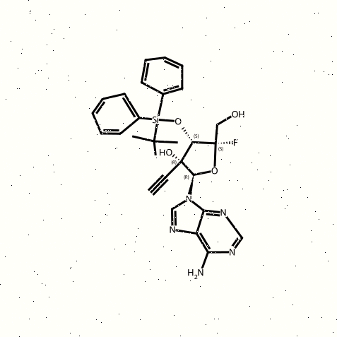 C#C[C@]1(O)[C@H](n2cnc3c(N)ncnc32)O[C@](F)(CO)[C@H]1O[Si](c1ccccc1)(c1ccccc1)C(C)(C)C